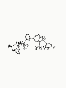 CNC(=O)c1c(-c2ccc(F)cc2)oc2ccc(-c3cccc(C(=O)N[C@@H](CO)CC(C)C)c3)cc12